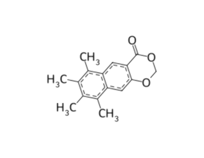 Cc1c(C)c(C)c2cc3c(cc2c1C)OCOC3=O